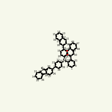 c1ccc(N(c2ccc(-c3ccc4ccccc4c3)cc2)c2ccc(-c3ccc4c(c3)sc3ccccc34)cc2)c(-c2ccc3ccccc3c2)c1